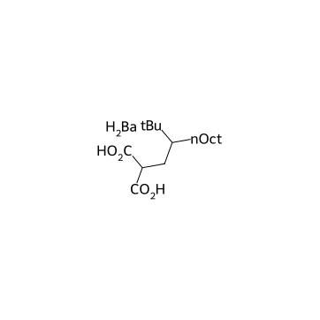 CCCCCCCCC(CC(C(=O)O)C(=O)O)C(C)(C)C.[BaH2]